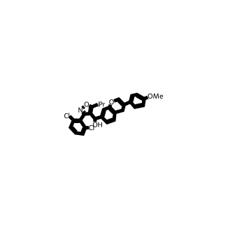 COc1ccc(C2=COc3cc(C(O)c4c(-c5c(Cl)cccc5Cl)noc4C(C)C)ccc3C2)cc1